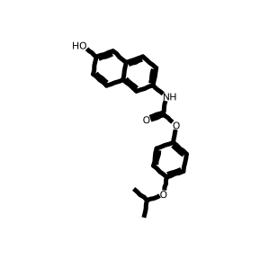 CC(C)Oc1ccc(OC(=O)Nc2ccc3cc(O)ccc3c2)cc1